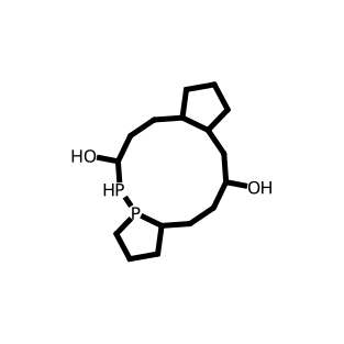 OC1CCC2CCCP2PC(O)CCC2CCCC2C1